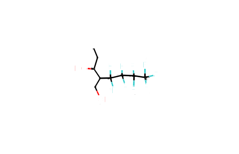 CCC(O)C(CO)C(F)(F)C(F)(F)C(F)(F)C(F)(F)F